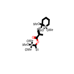 C=C(C)C(=O)OC(CC)[Si](OC)(OC)OC.CCCC1(OC)CCCC[Si]1(OC)OC